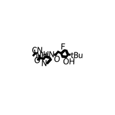 C[C@@H](C#N)NC(=O)c1cc(NC(=O)Cc2cc(O)c(C(C)(C)C)cc2F)ccn1